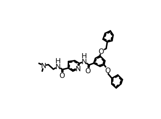 CN(C)CCNC(=O)c1ccc(NC(=O)c2cc(OCc3ccccc3)cc(OCc3ccccc3)c2)nc1